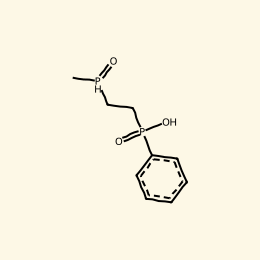 C[PH](=O)CCP(=O)(O)c1ccccc1